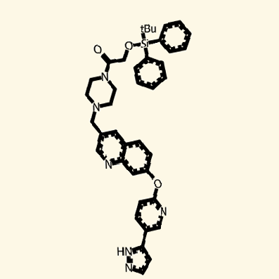 CC(C)(C)[Si](OCC(=O)N1CCN(Cc2cnc3cc(Oc4ccc(-c5ccn[nH]5)cn4)ccc3c2)CC1)(c1ccccc1)c1ccccc1